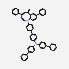 C=C1/C=C(c2ccccc2)\C=C/N(C2=CCC(c3ccc(N(c4ccc(-c5ccccc5)cc4)c4ccc(-c5ccccc5)cc4)cc3)C=C2)c2ccc(-c3ccccc3)cc21